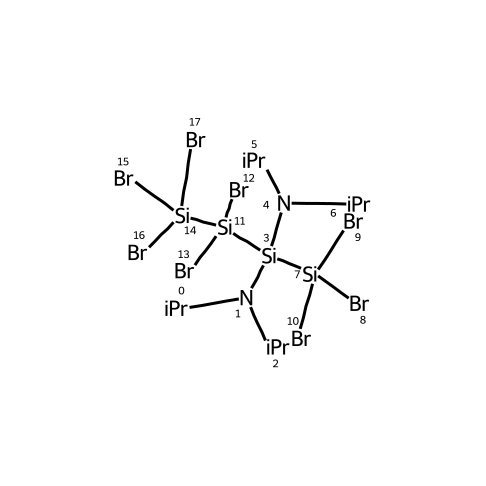 CC(C)N(C(C)C)[Si](N(C(C)C)C(C)C)([Si](Br)(Br)Br)[Si](Br)(Br)[Si](Br)(Br)Br